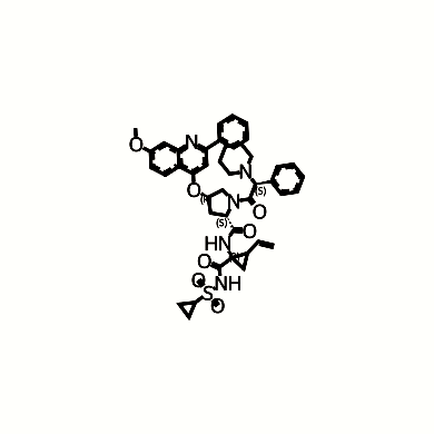 C=CC1C[C@]1(NC(=O)[C@@H]1C[C@@H](Oc2cc(-c3ccccc3)nc3cc(OC)ccc23)CN1C(=O)[C@H](c1ccccc1)N1CCCCC1)C(=O)NS(=O)(=O)C1CC1